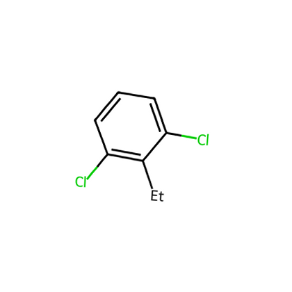 CCc1c(Cl)cccc1Cl